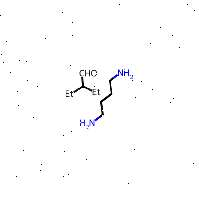 CCC(C=O)CC.NCCCCN